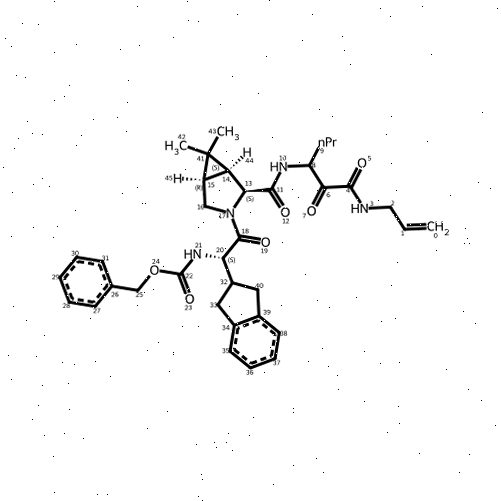 C=CCNC(=O)C(=O)C(CCC)NC(=O)[C@@H]1[C@H]2[C@@H](CN1C(=O)[C@@H](NC(=O)OCc1ccccc1)C1Cc3ccccc3C1)C2(C)C